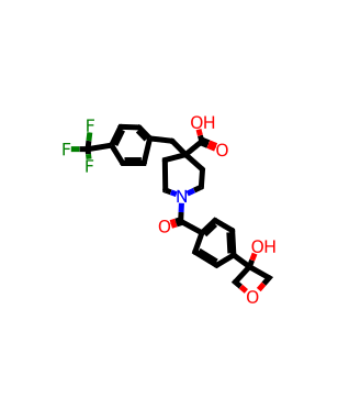 O=C(c1ccc(C2(O)COC2)cc1)N1CCC(Cc2ccc(C(F)(F)F)cc2)(C(=O)O)CC1